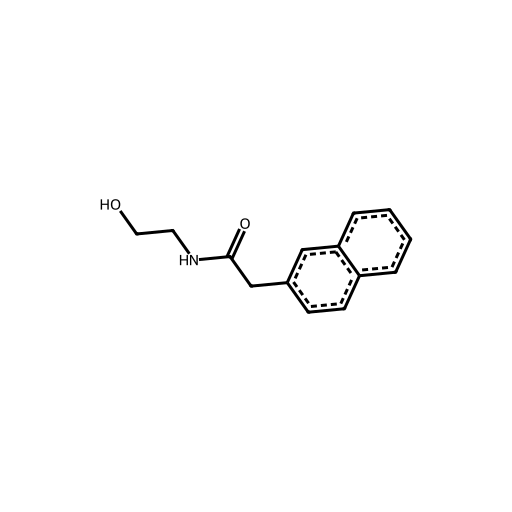 O=C(Cc1ccc2ccccc2c1)NCCO